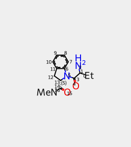 CCC(N)C(=O)N1c2ccccc2C[C@H]1C(=O)NC